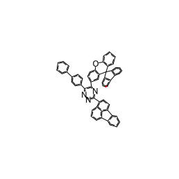 c1ccc(-c2ccc(-c3nnc(-c4ccc5c6c(cccc46)-c4ccccc4-5)nc3-c3ccc4c(c3)C3(c5ccccc5O4)c4ccccc4-c4ccccc43)cc2)cc1